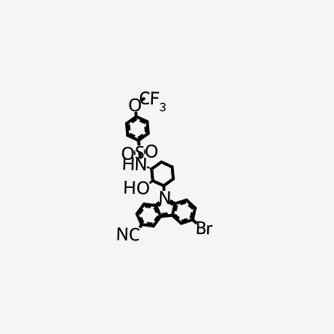 N#Cc1ccc2c(c1)c1cc(Br)ccc1n2C1CCC[C@@H](NS(=O)(=O)c2ccc(OC(F)(F)F)cc2)[C@@H]1O